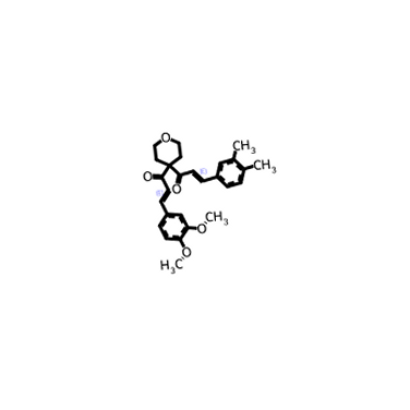 COc1ccc(/C=C/C(=O)C2(C(=O)/C=C/c3ccc(C)c(C)c3)CCOCC2)cc1OC